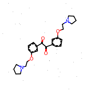 O=C(C(=O)c1cccc(OCCN2CCCC2)c1)c1cccc(OCCN2CCCC2)c1